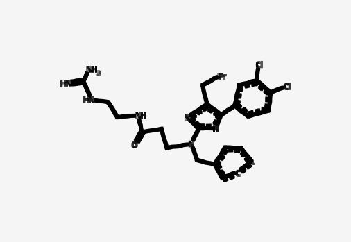 CC(C)Cc1sc(N(CCC(=O)NCCNC(=N)N)Cc2ccccc2)nc1-c1ccc(Cl)c(Cl)c1